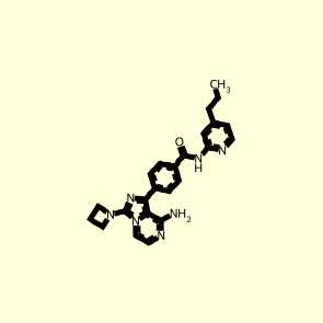 CCCc1ccnc(NC(=O)c2ccc(-c3nc(N4CCC4)n4ccnc(N)c34)cc2)c1